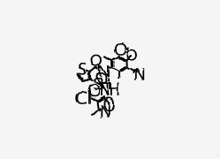 Cc1noc(NS(=O)(=O)c2ccsc2C(=O)Nc2c(C)c(C#N)c3c(c2C)OCO3)c1Cl